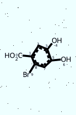 O=C(O)c1cc(O)c(O)cc1Br